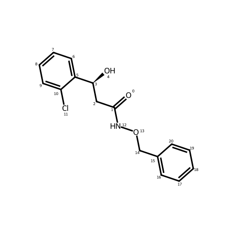 O=C(C[C@H](O)c1ccccc1Cl)NOCc1ccccc1